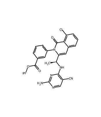 CC(C)OC(=O)c1cccc(-n2c([C@H](C)Nc3nc(N)ncc3C#N)cc3cccc(Cl)c3c2=O)c1